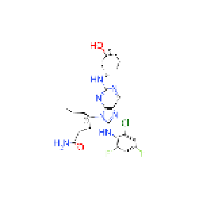 CCC[C@H](CCC(N)=O)n1c(Nc2c(F)cc(F)cc2Cl)nc2cnc(N[C@H]3CCC[C@H](O)C3)nc21